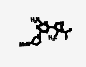 CN[C@@H]1CCN(c2cc(-c3cnn(C(F)F)c3C)nc(N)n2)C1